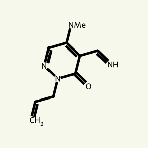 C=CCn1ncc(NC)c(C=N)c1=O